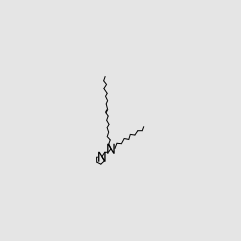 CCCCCCCCC=CCCCCCCCCN(CCCCCCCCCC)CCN1CCCC1